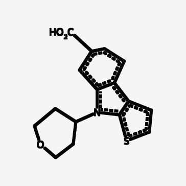 O=C(O)c1ccc2c3ccsc3n(C3CCOCC3)c2c1